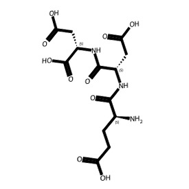 N[C@@H](CCC(=O)O)C(=O)N[C@@H](CC(=O)O)C(=O)N[C@@H](CC(=O)O)C(=O)O